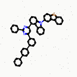 c1ccc(-c2ccc(-c3cccc(-c4cc(-c5cccc6c5c5ccccc5n6-c5ccc6sc7ccccc7c6c5)nc(-c5ccccc5)n4)c3)cc2)cc1